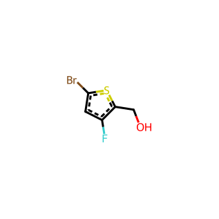 OCc1sc(Br)cc1F